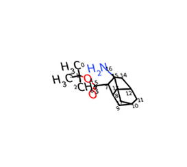 CC(C)(C)OC(=O)C1C2CC3CC(C2)CC1(N)C3